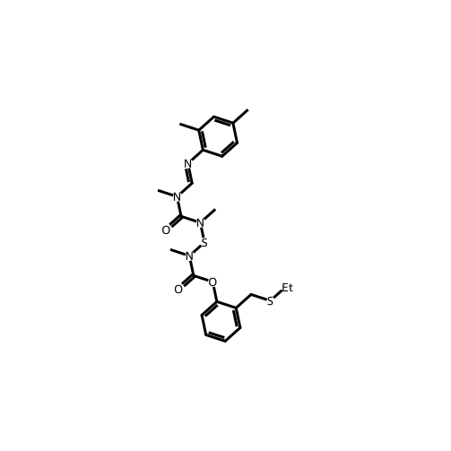 CCSCc1ccccc1OC(=O)N(C)SN(C)C(=O)N(C)C=Nc1ccc(C)cc1C